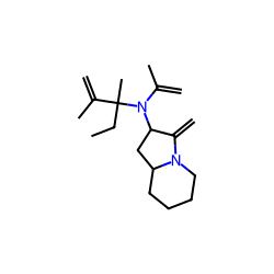 C=C1C(N(C(=C)C)C(C)(CC)C(=C)C)CC2CCCCN12